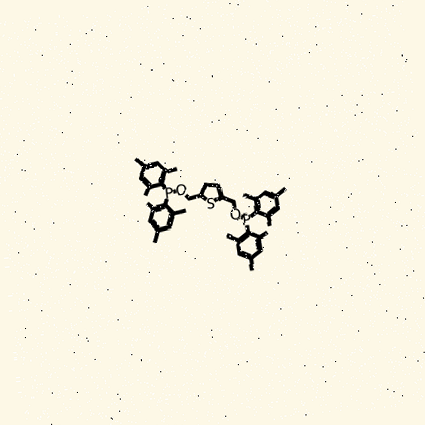 Cc1cc(C)c(P(OCC2CCC(COP(c3c(C)cc(C)cc3C)c3c(C)cc(C)cc3C)S2)c2c(C)cc(C)cc2C)c(C)c1